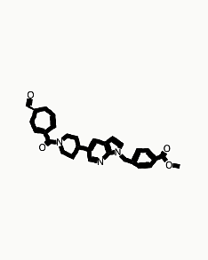 COC(=O)c1ccc(Cn2ccc3cc(C4CCN(C(=O)C5=CC[C@@H](C=O)CC=C5)CC4)cnc32)cc1